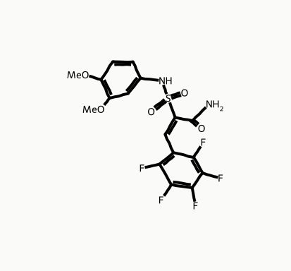 COc1ccc(NS(=O)(=O)C(=Cc2c(F)c(F)c(F)c(F)c2F)C(N)=O)cc1OC